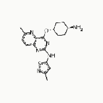 Cc1cc(Nc2nc(O[C@H]3CC[C@H](N)CC3)c3nc(C)ccc3n2)sn1